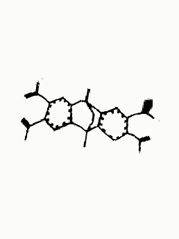 CC12CCC(C)(c3cc(C(=O)O)c(C(=O)O)cc31)c1cc(C(=O)O)c(C(=O)O)cc12